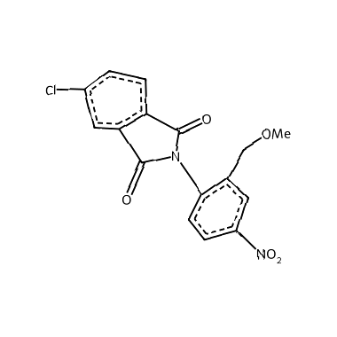 COCc1cc([N+](=O)[O-])ccc1N1C(=O)c2ccc(Cl)cc2C1=O